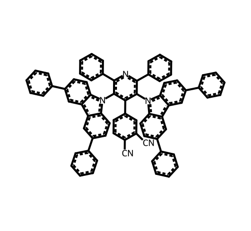 N#Cc1ccc(-c2c(-n3c4ccc(-c5ccccc5)cc4c4cc(-c5ccccc5)ccc43)c(-c3ccccc3)nc(-c3ccccc3)c2-n2c3ccc(-c4ccccc4)cc3c3cc(-c4ccccc4)ccc32)cc1C#N